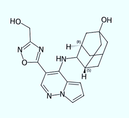 OCc1noc(-c2cnn3cccc3c2NC2[C@@H]3CC4C[C@H]2CC(O)(C4)C3)n1